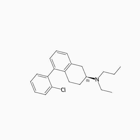 CCCN(CC)[C@H]1CCc2c(cccc2-c2ccccc2Cl)C1